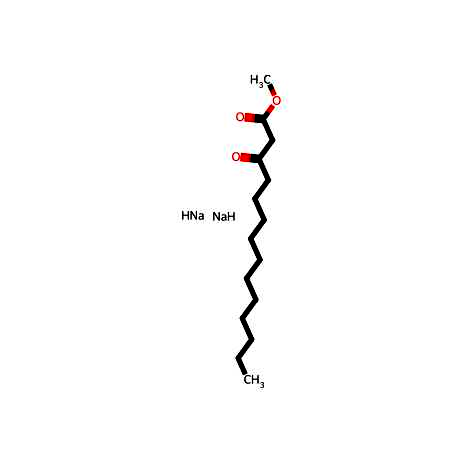 CCCCCCCCCCCC(=O)CC(=O)OC.[NaH].[NaH]